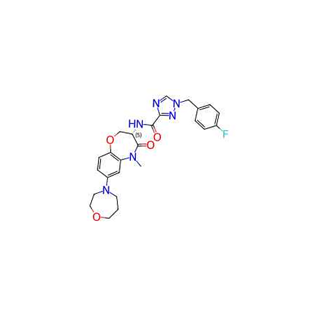 CN1C(=O)[C@@H](NC(=O)c2ncn(Cc3ccc(F)cc3)n2)COc2ccc(N3CCCOCC3)cc21